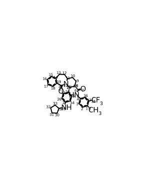 Cc1ccc(NC(=O)[C@@H]2CCC3CCc4ccccc4C(=O)N3[C@@H]2c2ccc(NC3CCCC3)cc2)cc1C(F)(F)F